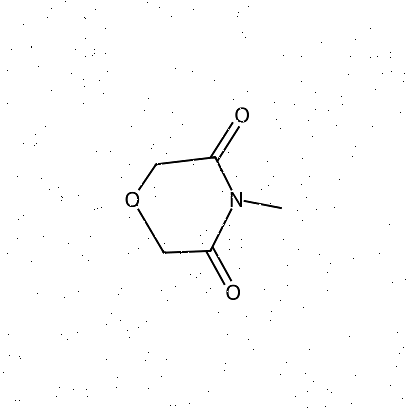 CN1C(=O)COCC1=O